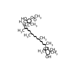 CC(=O)O[C@H]1CC(C)(C)C(=C=C/C(C)=C/C=C/C(C)=C/C=C/C=C(C)/C=C/C=C(\C)[C@H]2C=C3C(C)(C)C[C@H](O)C[C@@]3(C)O2)[C@](C)(O)C1